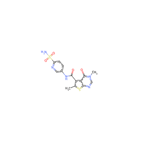 Cc1sc2ncn(C)c(=O)c2c1C(=O)Nc1ccc(S(N)(=O)=O)nc1